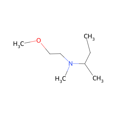 CCC(C)N(C)CCOC